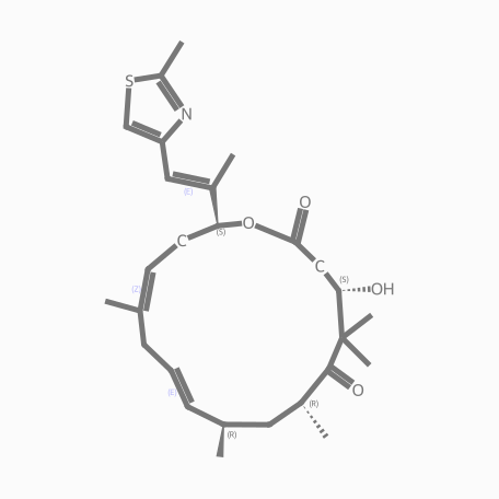 C/C1=C/C[C@@H](/C(C)=C/c2csc(C)n2)OC(=O)C[C@H](O)C(C)(C)C(=O)[C@H](C)C[C@@H](C)/C=C/C1